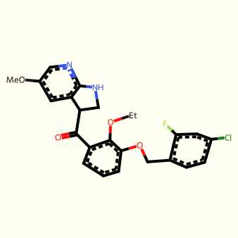 CCOc1c(OCc2ccc(Cl)cc2F)cccc1C(=O)C1CNc2ncc(OC)cc21